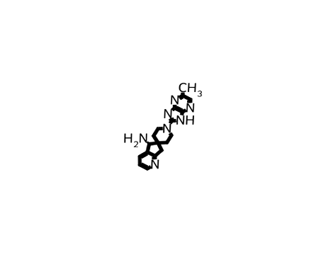 Cc1cnc2[nH]c(N3CCC4(CC3)Cc3ncccc3[C@H]4N)nc2n1